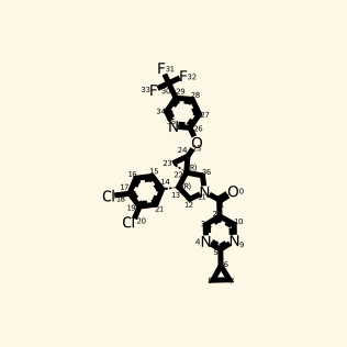 O=C(c1cnc(C2CC2)nc1)N1C[C@H](c2ccc(Cl)c(Cl)c2)[C@]2(CC2Oc2ccc(C(F)(F)F)cn2)C1